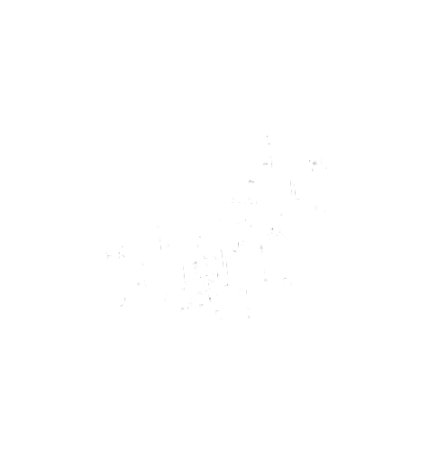 NC1=C(F)C(Oc2cc(OC3C(F)=C(N)C(F)=CC3(F)C(F)(F)F)c(C(F)(F)F)c(F)c2F)C(F)(C(F)(F)F)C=C1F